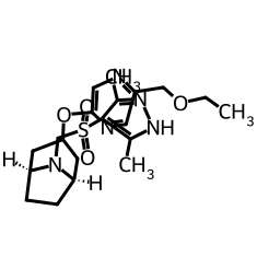 CCOCc1cnc(OC2C[C@H]3CC[C@@H](C2)N3CS(=O)(=O)c2c(C)n[nH]c2C)cn1